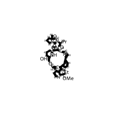 CCn1c(-c2cccnc2[C@H](C)OC)c2c3cc(ccc31)-c1csc(n1)C[C@H](NC(=O)[C@H](C(C)C)N(C)C(=O)N1CCCC13COC3)C(=O)N1CCC[C@](C=O)(COCC(C)(C)C2)N1